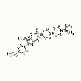 CSc1ccc(-c2nc3cc(C4CCN(C5CCN(C(C)C)CC5)CC4)c(F)cc3n2C)cc1